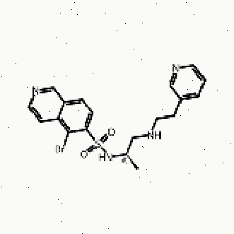 C[C@H](CNCCc1cccnc1)NS(=O)(=O)c1ccc2cnccc2c1Br